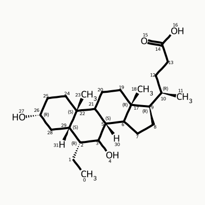 CC[C@H]1C(O)[C@H]2C3CC[C@H]([C@H](C)CCC(=O)O)[C@@]3(C)CCC2[C@@]2(C)CC[C@@H](O)C[C@@H]12